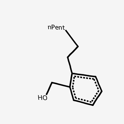 CCCCCCCc1ccccc1CO